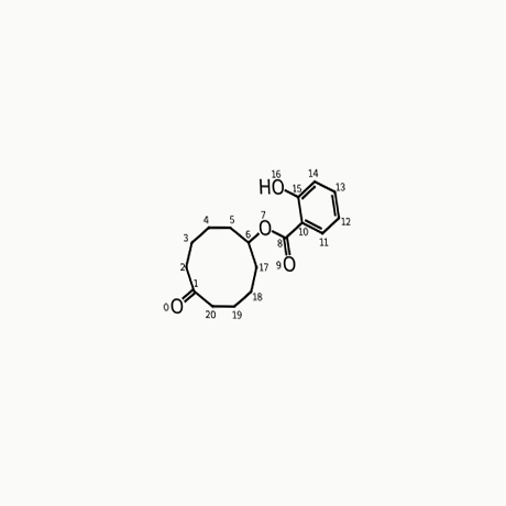 O=C1CCCCC(OC(=O)c2ccccc2O)CCCC1